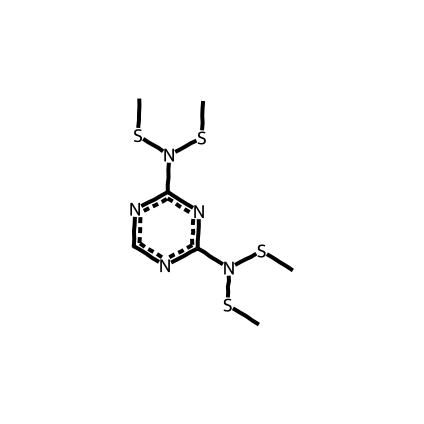 CSN(SC)c1ncnc(N(SC)SC)n1